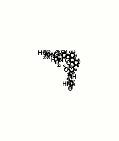 COc1nc(-c2cccc(-c3cccc(-c4ccn5c(=O)c(CNC6CC(C)(O)C6)c(OC)nc5c4)c3Cl)c2Cl)ccc1CNC[C@H]1CCC(=O)N1